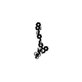 COC(=O)Oc1cnc2n1CCc1ccccc1C2=C1CCN(CCc2ccc(OCc3ccc4ccccc4n3)cc2)CC1